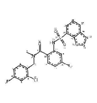 CN(Cc1ccc(F)cc1Cl)C(=O)c1ccc(I)cc1NS(=O)(=O)c1cccc2nsnc12